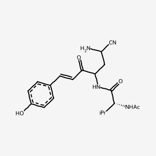 CC(=O)N[C@@H](C(=O)NC(CC(N)C#N)C(=O)/C=C/c1ccc(O)cc1)C(C)C